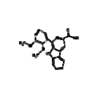 COc1cccc(-c2nc(C(=O)O)cc3c2[nH]c2ccccc23)c1OC